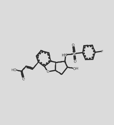 O=C(O)C=Cc1cccc2c1OC1CC(O)C(NS(=O)(=O)c3ccc(F)cc3)C21